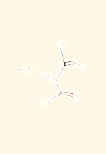 N.N.NC(=O)NC(N)=O